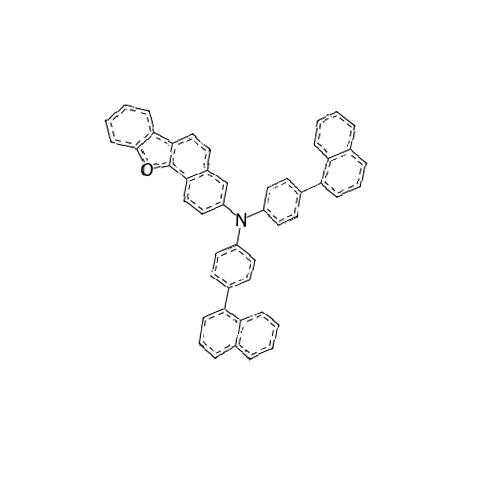 c1ccc2c(-c3ccc(N(c4ccc(-c5cccc6ccccc56)cc4)c4ccc5c(ccc6c7ccccc7oc56)c4)cc3)cccc2c1